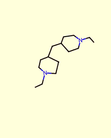 CCN1CCC(CC2CCN(CC)CC2)CC1